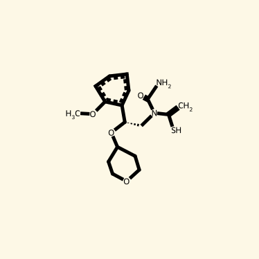 C=C(S)N(C[C@H](OC1CCOCC1)c1ccccc1OC)C(N)=O